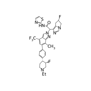 CCN1CC[C@H](c2ccc(-c3cc(C(F)(F)F)c4cn(C(C(=O)Nc5nccs5)c5ncn6c5CC(F)C6)nc4c3C)cc2)[C@@H](F)C1